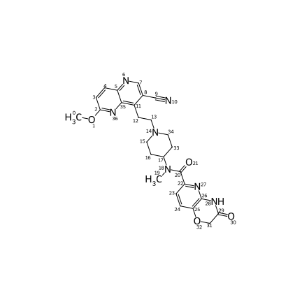 COc1ccc2ncc(C#N)c(CCN3CCC(N(C)C(=O)c4ccc5c(n4)NC(=O)CO5)CC3)c2n1